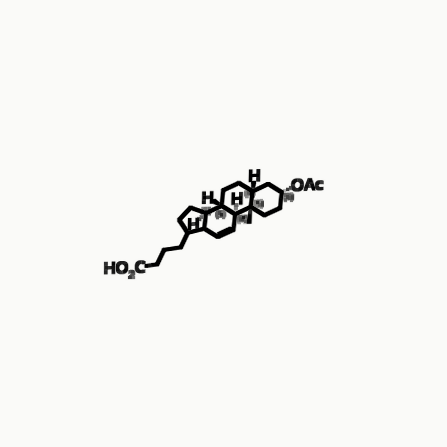 CC(=O)O[C@@H]1CC[C@@]2(C)[C@H](CC[C@H]3[C@@H]4CCC(CCCC(=O)O)C4C=C[C@@H]32)C1